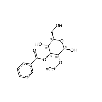 CCCCCCCCO[C@@H]1[C@@H](OC(=O)c2ccccc2)[C@H](O)[C@@H](CO)O[C@H]1O